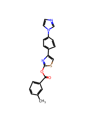 Cc1cccc(C(=O)Oc2nc(-c3ccc(-n4ccnc4)cc3)cs2)c1